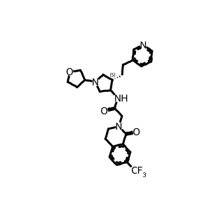 O=C(CN1CCc2ccc(C(F)(F)F)cc2C1=O)NC1CN(C2CCOC2)C[C@@H]1CCc1cccnc1